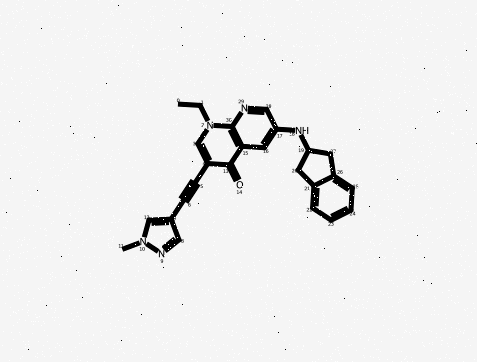 CCn1cc(C#Cc2cnn(C)c2)c(=O)c2cc(NC3Cc4ccccc4C3)cnc21